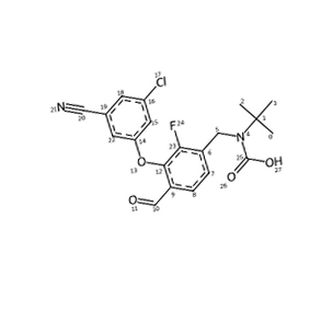 CC(C)(C)N(Cc1ccc(C=O)c(Oc2cc(Cl)cc(C#N)c2)c1F)C(=O)O